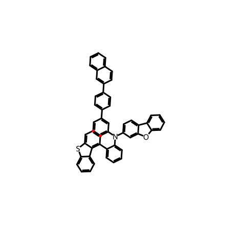 c1cc(-c2ccc(-c3ccc4ccccc4c3)cc2)cc(N(c2ccc3c(c2)oc2ccccc23)c2ccccc2-c2cccc3sc4ccccc4c23)c1